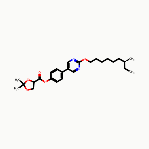 CC[C@H](C)CCCCCCOc1ncc(-c2ccc(OC(=O)C3COC(C)(C)O3)cc2)cn1